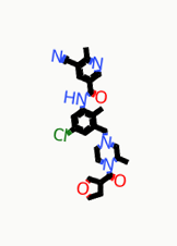 Cc1ncc(C(=O)Nc2cc(Cl)cc(CN3CCN(C(=O)C4CCOC4)C(C)C3)c2C)cc1C#N